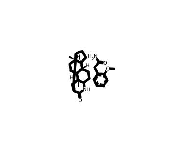 COc1ccccc1CC(N)=O.C[C@]12C=C3C(=O)NC1CC[C@@H]1[C@H]2CC[C@]2(C)C3CC[C@@H]12